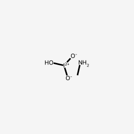 CN.[O-][I+2]([O-])O